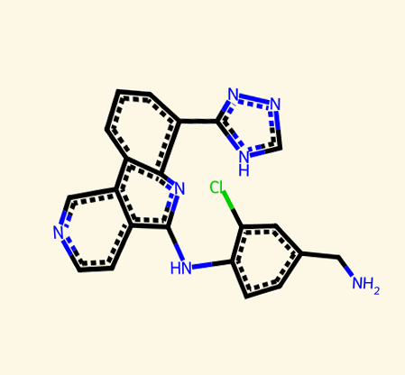 NCc1ccc(Nc2nc3c(-c4nnc[nH]4)cccc3c3cnccc23)c(Cl)c1